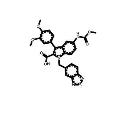 COC(=O)Nc1ccc2c(c1)c(-c1ccc(OC)c(OC)c1)c(C(=O)O)n2Cc1ccc2nsnc2c1